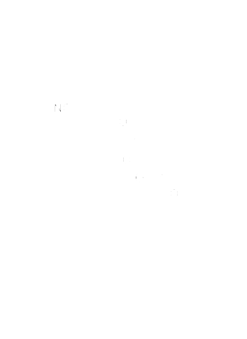 C#CC(C)OC(=O)C(C)CC(=O)OCCC#N